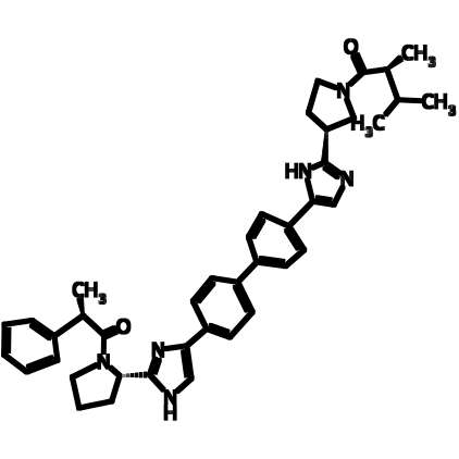 CC(C)[C@H](C)C(=O)N1CC[C@H](c2ncc(-c3ccc(-c4ccc(-c5c[nH]c([C@@H]6CCCN6C(=O)[C@H](C)c6ccccc6)n5)cc4)cc3)[nH]2)C1